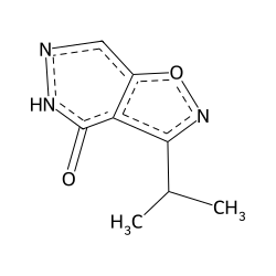 CC(C)c1noc2cn[nH]c(=O)c12